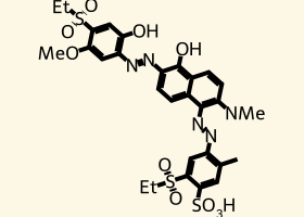 CCS(=O)(=O)c1cc(O)c(/N=N/c2ccc3c(/N=N/c4cc(S(=O)(=O)CC)c(S(=O)(=O)O)cc4C)c(NC)ccc3c2O)cc1OC